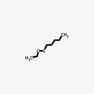 CCCCCSOCC